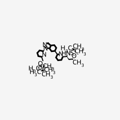 CCC[C@H](N[S@+]([O-])C(C)(C)C)c1cccc(-c2ccc3cnn(-c4cccc(CO[Si](C)(C)C(C)(C)C)n4)c3c2)n1